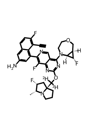 [2H]C([2H])(Oc1nc(N2CCOC[C@H]3[C@H](F)[C@H]32)c2cnc(-c3cc(N)cc4ccc(F)c(C#C)c34)c(F)c2n1)[C@@]12CCCN1[C@H](C)[C@H](F)C2